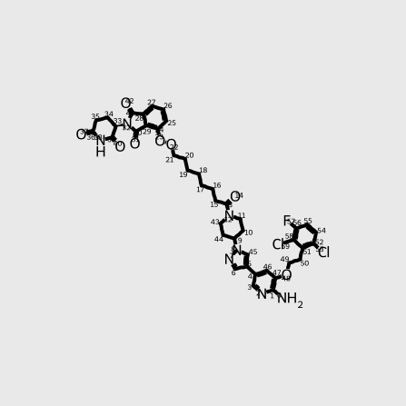 Nc1ncc(-c2cnn(C3CCN(C(=O)CCCCCCCOOc4cccc5c4C(=O)N([C@@H]4CCC(=O)NC4=O)C5=O)CC3)c2)cc1OCCc1c(Cl)ccc(F)c1Cl